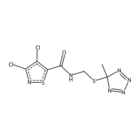 CC1(SCNC(=O)c2snc(Cl)c2Cl)N=NN=N1